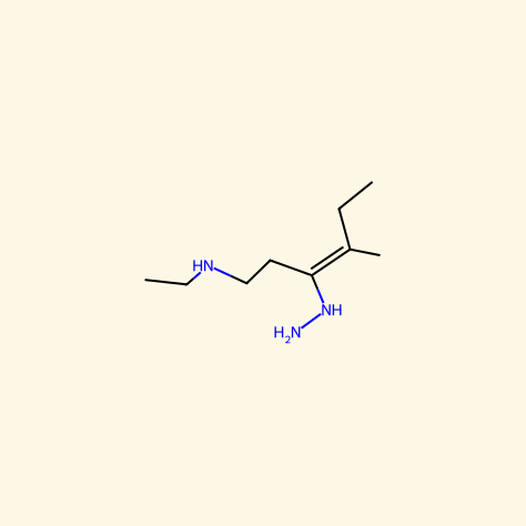 CCNCC/C(NN)=C(/C)CC